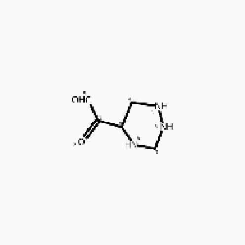 O=CC(=O)C1CNNCN1